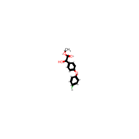 COC(=O)C(O)c1ccc(Oc2ccc(F)cc2)cc1